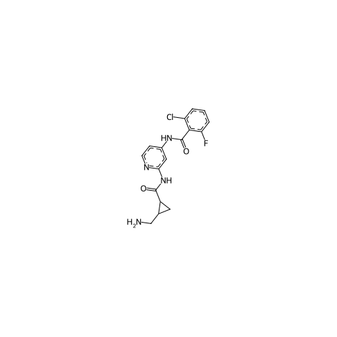 NCC1CC1C(=O)Nc1cc(NC(=O)c2c(F)cccc2Cl)ccn1